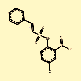 O=[N+]([O-])c1cc(Cl)ccc1NS(=O)(=O)/C=C/c1ccccc1